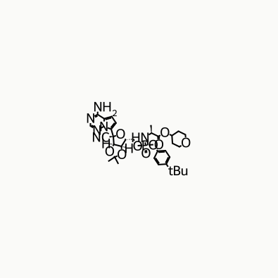 C[C@H](NP(=O)(OC[C@H]1O[C@@](C#N)(c2ccc3c(N)ncnn23)[C@@H]2OC(C)(C)O[C@@H]21)Oc1ccc(C(C)(C)C)cc1)C(=O)OC1CCOCC1